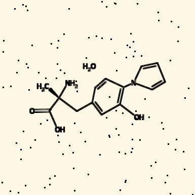 C[C@@](N)(Cc1ccc(-n2cccc2)c(O)c1)C(=O)O.O